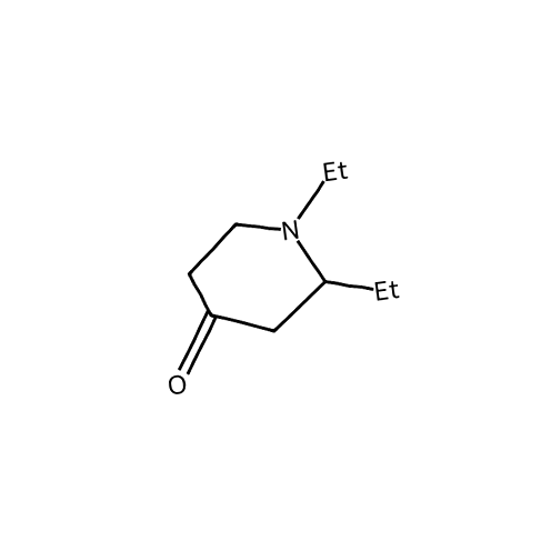 CCC1CC(=O)CCN1CC